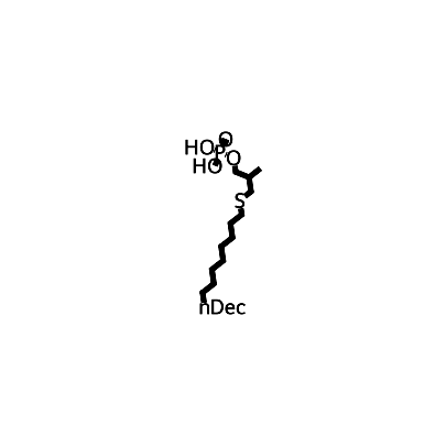 CCCCCCCCCCCCCCCCCCSCC(C)COP(=O)(O)O